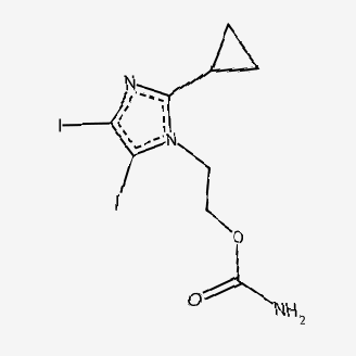 NC(=O)OCCn1c(C2CC2)nc(I)c1I